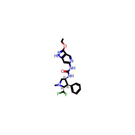 CCOc1n[nH]c2cc(NC(=O)N[C@@H]3CN(C)[C@@H](C(F)F)[C@@H]3c3ccccc3)ncc12